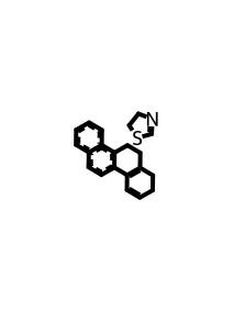 C1=CC2=C(CC1)CCc1c2ccc2ccccc12.C1=NCCS1